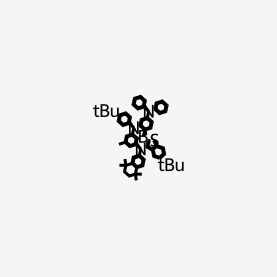 Cc1cc2c3c(c1)N(c1ccc4c(c1)C(C)(C)CCC4(C)C)c1c(sc4ccc(C(C)(C)C)cc14)B3c1ccc(N(c3ccccc3)c3ccccc3)cc1N2c1ccc(C(C)(C)C)cc1